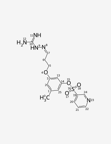 Cc1cc(OCC/C=N\NC(=N)N)cc(OS(=O)(=O)c2cccnc2)c1